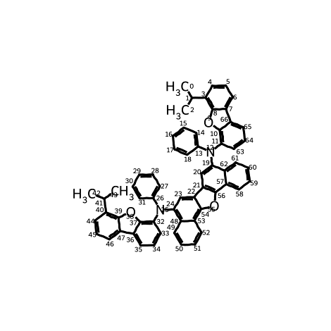 CC(C)c1cccc2c1oc1c(N(c3ccccc3)c3cc4c5cc(N(c6ccccc6)c6cccc7c6oc6c(C(C)C)cccc67)c6ccccc6c5oc4c4ccccc34)cccc12